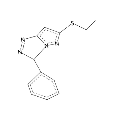 CCSc1cc2n(n1)C(c1ccccc1)N=N2